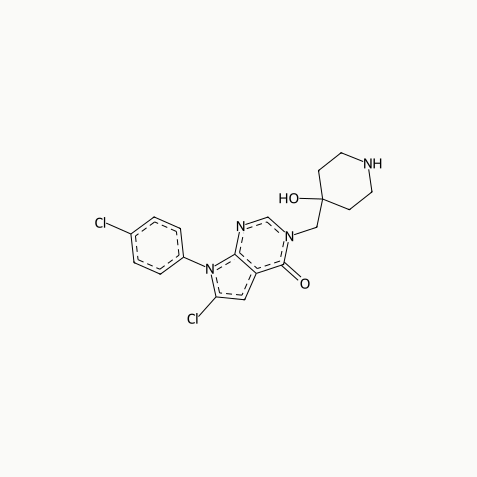 O=c1c2cc(Cl)n(-c3ccc(Cl)cc3)c2ncn1CC1(O)CCNCC1